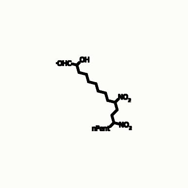 CCCCCC(CCC(CCCCCCCC(O)[C]=O)[N+](=O)[O-])[N+](=O)[O-]